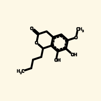 CCCCC1OC(=O)Cc2cc(OC)c(O)c(O)c21